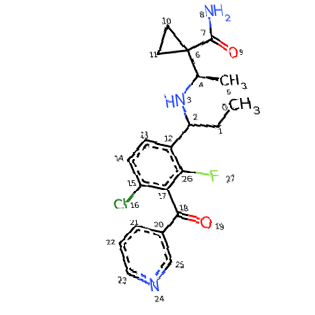 CCC(N[C@H](C)C1(C(N)=O)CC1)c1ccc(Cl)c(C(=O)c2cccnc2)c1F